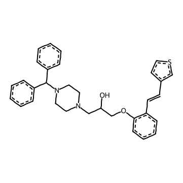 OC(COc1ccccc1/C=C/c1ccsc1)CN1CCN(C(c2ccccc2)c2ccccc2)CC1